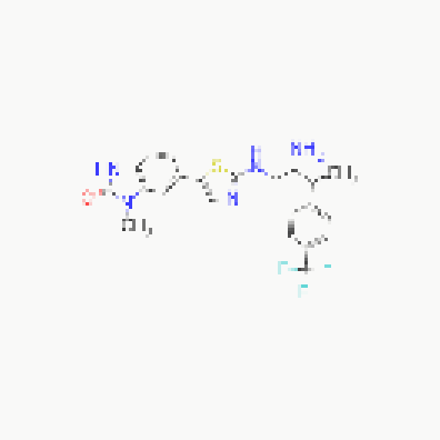 C[C@@H](c1ccc(C(F)(F)F)cc1)[C@@H](N)CNc1ncc(-c2ccc3[nH]c(=O)n(C)c3c2)s1